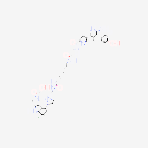 CCc1c(-c2ccc(C(=O)NCCC(=O)NCCCCCCCC(=O)NCCn3ccc(-c4cc(Cl)c(Cl)c5[nH]c6c(c45)CN(C(=O)CO)CC6)n3)nc2)cnc(N)c1-c1ccc(O)cc1